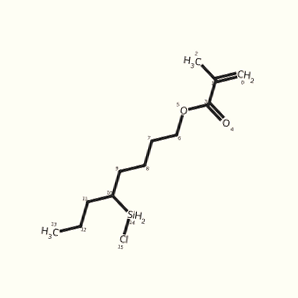 C=C(C)C(=O)OCCCCC(CCC)[SiH2]Cl